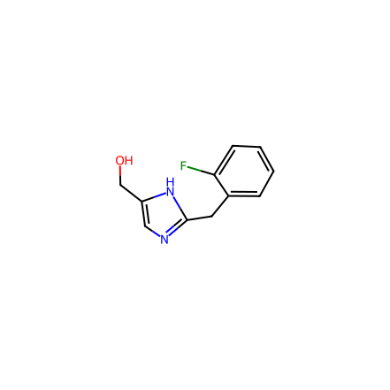 OCc1cnc(Cc2ccccc2F)[nH]1